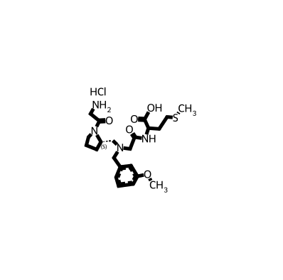 COc1cccc(CN(CC(=O)NC(CCSC)C(=O)O)C[C@@H]2CCCN2C(=O)CN)c1.Cl